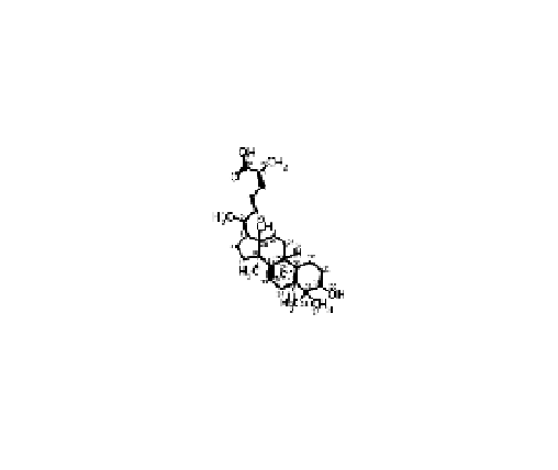 C/C(=C/CC[C@H](C)[C@@H]1CC[C@]2(C)C3=CC[C@H]4C(C)(C)[C@H](O)CC[C@]4(C)[C@H]3CC[C@@]12C)C(=O)O